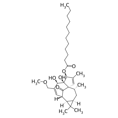 CCCCCCCCCCCC(=O)O[C@H]1C(C)=C[C@]23C(=O)[C@@H](C=C(COC)[C@@H](O)[C@]12O)[C@H]1[C@@H](C[C@H]3C)C1(C)C